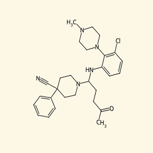 CC(=O)CCC(Nc1cccc(Cl)c1N1CCN(C)CC1)N1CCC(C#N)(c2ccccc2)CC1